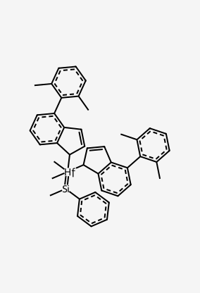 Cc1cccc(C)c1-c1cccc2c1C=C[CH]2[Hf]([CH3])([CH3])([CH]1C=Cc2c(-c3c(C)cccc3C)cccc21)=[Si](C)c1ccccc1